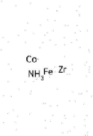 N.[Co].[Fe].[Zr]